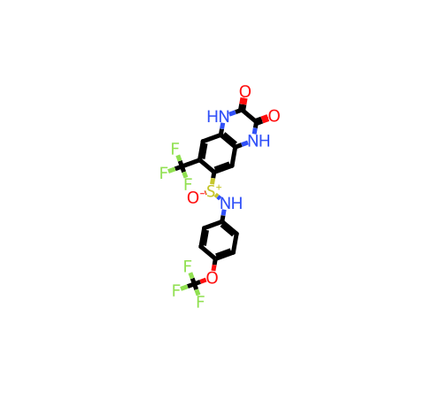 O=c1[nH]c2cc([S+]([O-])Nc3ccc(OC(F)(F)F)cc3)c(C(F)(F)F)cc2[nH]c1=O